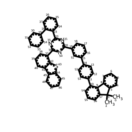 CC1(C)c2ccccc2-c2c(-c3ccc(-c4cccc(-c5nc(-c6ccccc6-c6ccccc6)nc(-c6cccc7c6sc6ccccc67)n5)c4)cc3)cccc21